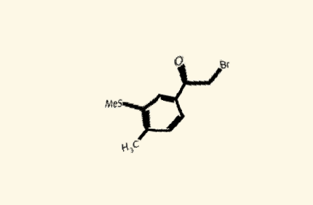 CSc1cc(C(=O)CBr)ccc1C